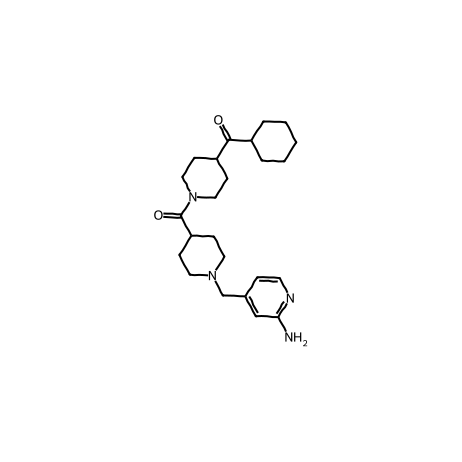 Nc1cc(CN2CCC(C(=O)N3CCC(C(=O)C4CCCCC4)CC3)CC2)ccn1